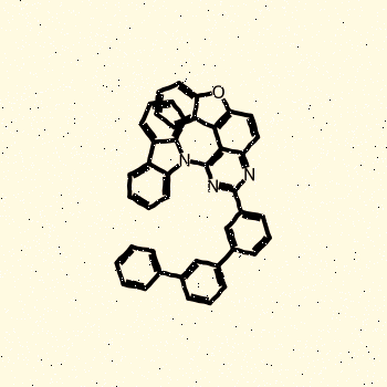 c1ccc(-c2cccc(-c3cccc(-c4nc(-n5c6ccccc6c6ccccc65)c5c(ccc6oc7ccccc7c65)n4)c3)c2)cc1